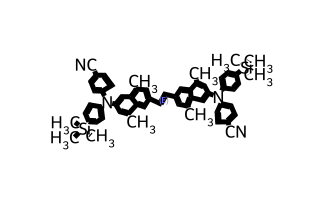 Cc1cc(N(c2ccc(C#N)cc2)c2ccc([Si](C)(C)C)cc2)cc2c(C)cc(/C=C/c3cc(C)c4cc(N(c5ccc(C#N)cc5)c5ccc([Si](C)(C)C)cc5)cc(C)c4c3)cc12